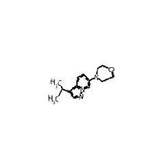 CC(C)c1cnn2cc(N3CCOCC3)ccc12